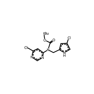 CC(C)(C)OC(=O)N(Cc1cc(Cl)c[nH]1)c1cc(Cl)ncn1